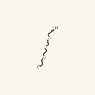 C#CCOCCOCCOCCCl